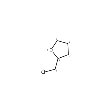 ClCC1CCCO1